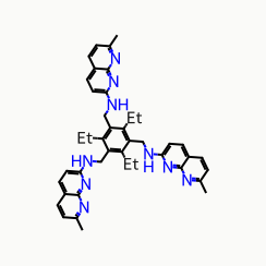 CCc1c(CNc2ccc3ccc(C)nc3n2)c(CC)c(CNc2ccc3ccc(C)nc3n2)c(CC)c1CNc1ccc2ccc(C)nc2n1